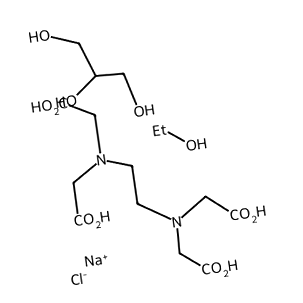 CCO.O=C(O)CN(CCN(CC(=O)O)CC(=O)O)CC(=O)O.OCC(O)CO.[Cl-].[Na+]